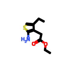 CCOC(=O)Cc1c(CC)csc1N